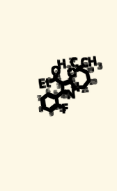 CCC(=O)c1c(-c2ccccc2F)nn2c1OC(C)(C)CCC2